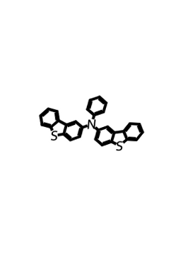 c1ccc(N(c2ccc3sc4ccccc4c3c2)c2ccc3sc4ccccc4c3c2)cc1